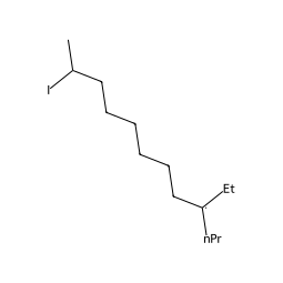 CCC[C](CC)CCCCCCC(C)I